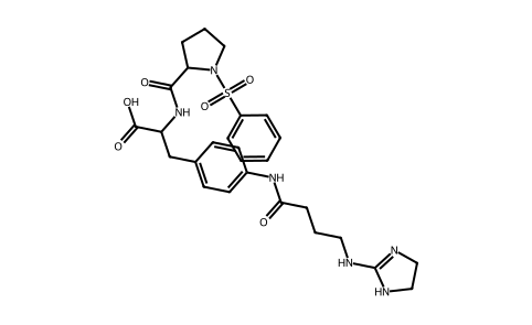 O=C(CCCNC1=NCCN1)Nc1ccc(CC(NC(=O)C2CCCN2S(=O)(=O)c2ccccc2)C(=O)O)cc1